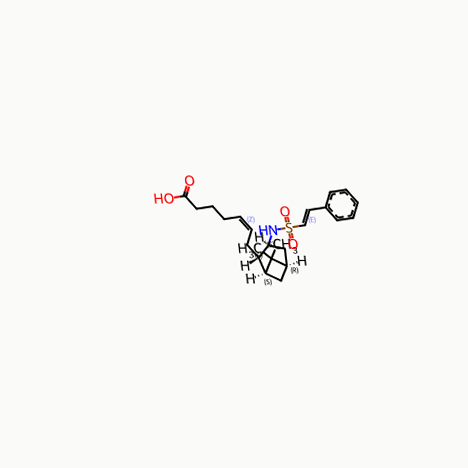 CC1(C)[C@H]2C[C@H](NS(=O)(=O)/C=C/c3ccccc3)[C@@H](C/C=C\CCCC(=O)O)[C@@H]1C2